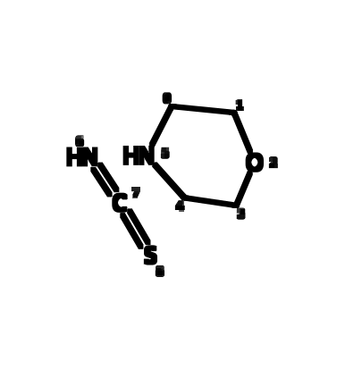 C1COCCN1.N=C=S